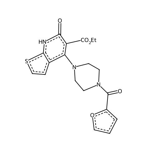 CCOC(=O)c1c(N2CCN(C(=O)c3ccco3)CC2)c2ccsc2[nH]c1=O